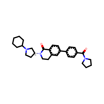 O=C(c1ccc(-c2ccc3c(c2)CCN([C@@H]2CCN(C4CCCCC4)C2)C3=O)cc1)N1CCCC1